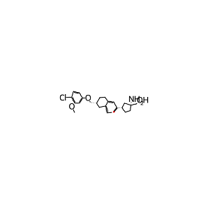 C=C(/C=C1/CC[C@@H](COc2ccc(Cl)c(OC)c2)C/C1=C/C)[C@H]1CC[C@](N)(CO)C1